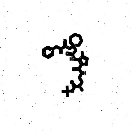 Cc1csc(C(=O)NCCN(C)C(=O)OC(C)(C)C)c1NC(=O)C[N+]1(CC(=O)NCc2ccccc2)CCCCCC1